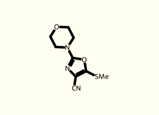 CSc1oc(N2CCOCC2)nc1C#N